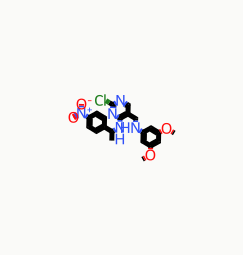 COc1cc(NCc2cnc(Cl)nc2NC(C)c2ccc([N+](=O)[O-])cc2)cc(OC)c1